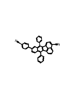 N#Cc1ccc(-c2ccc3c(-c4ccccc4)c4c(c(-c5ccccc5)c3c2)-c2ccc(C#N)c3cccc-4c23)cc1